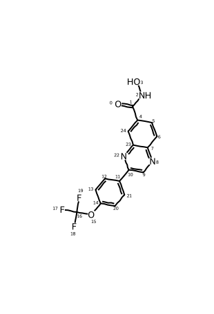 O=C(NO)c1ccc2ncc(-c3ccc(OC(F)(F)F)cc3)nc2c1